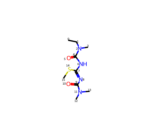 CCN(C)C(=O)NC(=NC(=O)N(C)C)SC